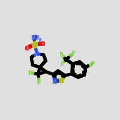 NS(=O)(=O)N1CCC2(CC1)C(c1cc(-c3ccc(F)cc3C(F)(F)F)sn1)C2(F)F